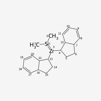 C[Si](C)=[Zr]([CH]1CCC2C=CC=CC21)[CH]1CCC2C=CC=CC21